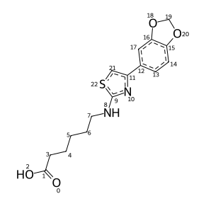 O=C(O)CCCCCNc1nc(-c2ccc3c(c2)OCO3)cs1